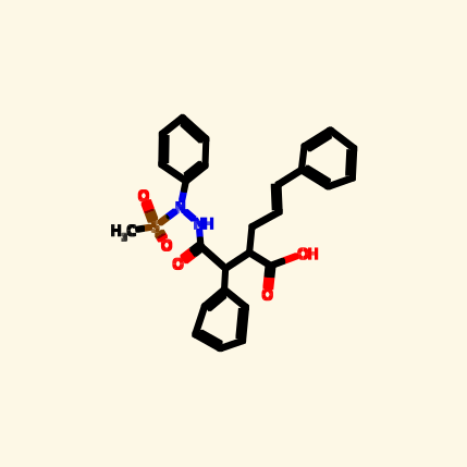 CS(=O)(=O)N(NC(=O)C(c1ccccc1)C(CC=Cc1ccccc1)C(=O)O)c1ccccc1